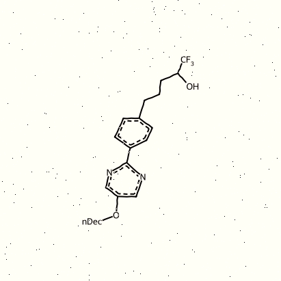 CCCCCCCCCCOc1cnc(-c2ccc(CCCC(O)C(F)(F)F)cc2)nc1